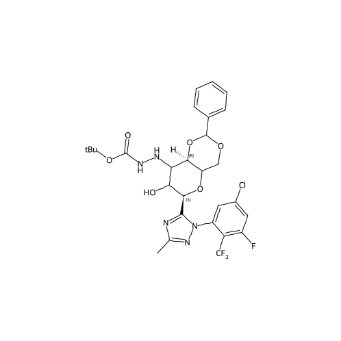 Cc1nc([C@@H]2OC3COC(c4ccccc4)O[C@@H]3C(NNC(=O)OC(C)(C)C)C2O)n(-c2cc(Cl)cc(F)c2C(F)(F)F)n1